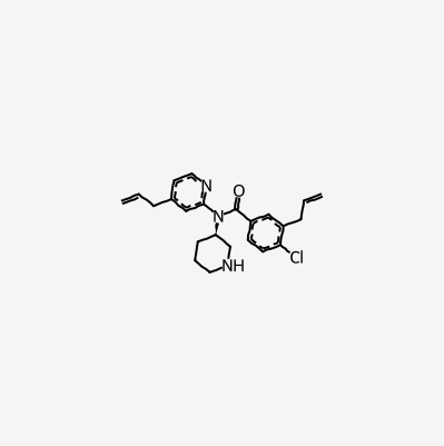 C=CCc1ccnc(N(C(=O)c2ccc(Cl)c(CC=C)c2)[C@@H]2CCCNC2)c1